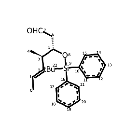 C/C=C/[C@@H](C)[C@H](CC=O)O[Si](c1ccccc1)(c1ccccc1)C(C)(C)C